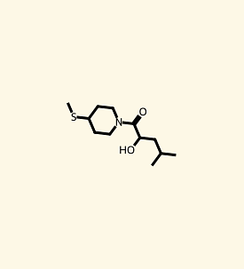 CSC1CCN(C(=O)C(O)CC(C)C)CC1